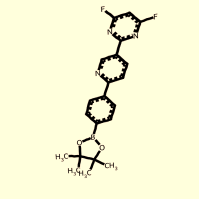 CC1(C)OB(c2ccc(-c3ccc(-c4nc(F)cc(F)n4)cn3)cc2)OC1(C)C